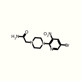 NC(=O)CN1CCN(c2ncc(Br)cc2[N+](=O)[O-])CC1